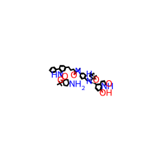 CN(C(=O)CCCc1ccc(-c2ccccc2)c(NC(=O)OC2(C(C)(C)C)CCC(N)CC2)c1)c1ccc(CNC[C@@H](O[Si](C)(C)C(C)(C)C)c2ccc(O)c3[nH]c(=O)ccc23)cc1